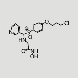 O=C(CNC(c1cccnc1)S(=O)(=O)c1ccc(OCCCCl)cc1)NO